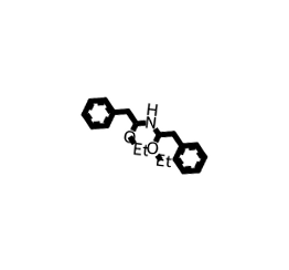 CCOC(Cc1ccccc1)NC(Cc1ccccc1)OCC